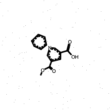 COC(=O)c1cncc(C(=O)O)c1.c1ccccc1